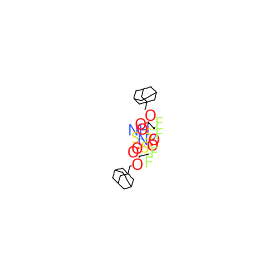 NSN(S(=O)(=O)C(F)(F)C(=O)OCC12CC3CC(CC(C3)C1)C2)S(=O)(=O)C(F)(F)C(=O)OCC12CC3CC(CC(C3)C1)C2